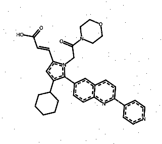 O=C(O)C=Cc1cc(C2CCCCC2)c(-c2ccc3nc(-c4ccncc4)ccc3c2)n1CC(=O)N1CCOCC1